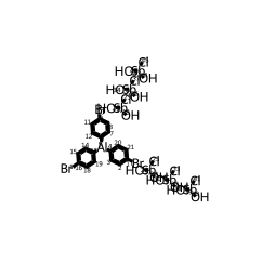 Brc1cc[c]([Al]([c]2ccc(Br)cc2)[c]2ccc(Br)cc2)cc1.[OH][Sb]([OH])[Cl].[OH][Sb]([OH])[Cl].[OH][Sb]([OH])[Cl].[OH][Sb]([OH])[Cl].[OH][Sb]([OH])[Cl].[OH][Sb]([OH])[Cl]